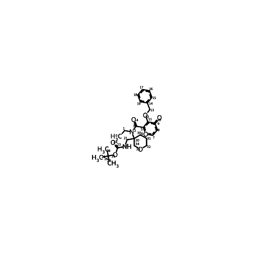 CCN(C(=O)c1occc(=O)c1OCc1ccccc1)C1(CNC(=O)OC(C)(C)C)CCCOC1